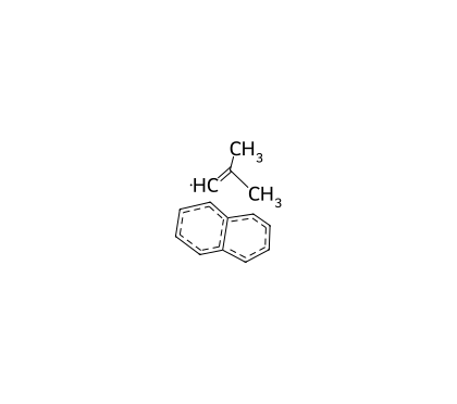 [CH]=C(C)C.c1ccc2ccccc2c1